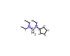 CCN(CC)[SiH2]N(CC)C1CCCC1